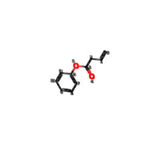 C=CCC(=O)Oc1ccccc1